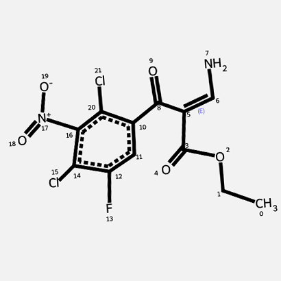 CCOC(=O)/C(=C/N)C(=O)c1cc(F)c(Cl)c([N+](=O)[O-])c1Cl